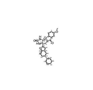 COc1ccc2c(c1)C(=O)N(C[C@@]1(c3cc4cc(-c5cccnc5)cnc4o3)NC(=O)NC1=O)C2